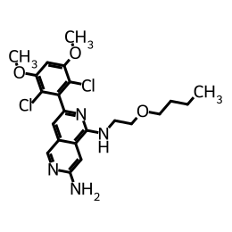 CCCCOCCNc1nc(-c2c(Cl)c(OC)cc(OC)c2Cl)cc2cnc(N)cc12